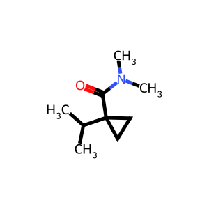 CC(C)C1(C(=O)N(C)C)CC1